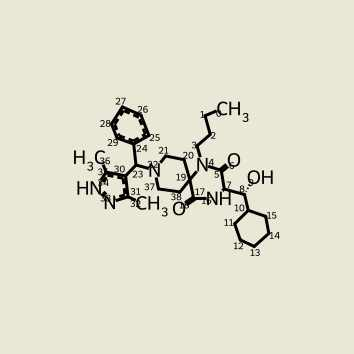 CCCCN1C(=O)[C@@H]([C@H](O)C2CCCCC2)NC(=O)C12CCN(C(c1ccccc1)c1c(C)n[nH]c1C)CC2